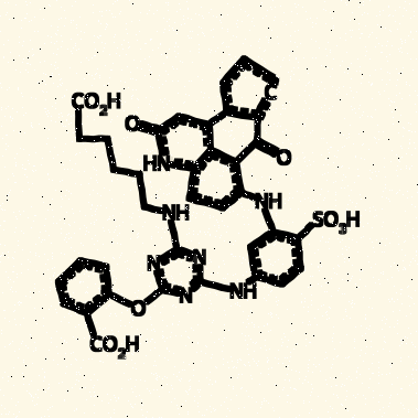 O=C(O)CCCCCNc1nc(Nc2ccc(S(=O)(=O)O)c(Nc3ccc4[nH]c(=O)cc5c4c3C(=O)c3ccccc3-5)c2)nc(Oc2ccccc2C(=O)O)n1